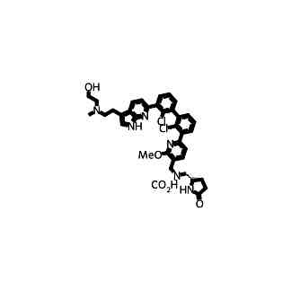 COc1nc(-c2cccc(-c3cccc(-c4ccc5c(CCN(C)CCO)c[nH]c5n4)c3Cl)c2Cl)ccc1CN(C[C@@H]1CCC(=O)N1)C(=O)O